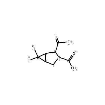 CC(=O)C1C2C(CN1C(C)=O)C2(Cl)Cl